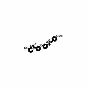 CCc1nc2c(C#N)cccn2c1-c1cccc(Oc2cccc(S(=O)(=O)N(C)Cc3ccc(OC)cc3)c2)c1